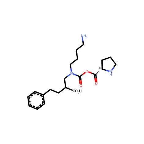 NCCCCN(CC(CCc1ccccc1)C(=O)O)C(=O)OC(=O)[C@@H]1CCCN1